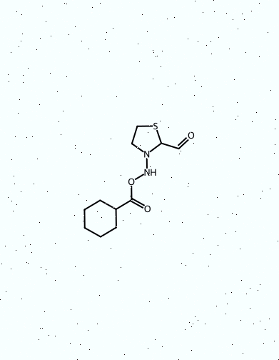 O=CC1SCCN1NOC(=O)C1CCCCC1